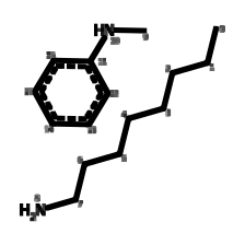 CCCCCCCCN.CNc1ccccc1